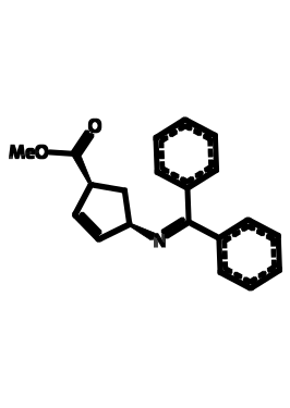 COC(=O)[C@@H]1C=C[C@H](N=C(c2ccccc2)c2ccccc2)C1